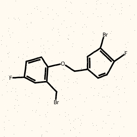 Fc1ccc(OCc2ccc(F)c(Br)c2)c(CBr)c1